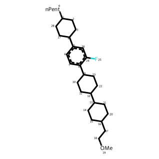 CCCCCC1CCC(c2ccc(C3CCC(C4CCC(CCOC)CC4)CC3)c(F)c2)CC1